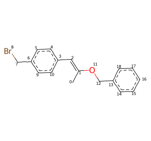 C/C(=C\c1ccc(CBr)cc1)OCc1ccccc1